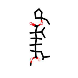 CCC1(OC(=O)C(C)(C(C)C)C(C)(C)C(C)(C)C(C)(CC(C)C)C(=O)OC)CCCC1